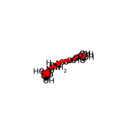 N[C@@H](Cc1cn(CCOCCOCCOCCOc2ccc(CCO[C@@H]3O[C@H](CO)[C@@H](O)[C@H](O)[C@H]3O)cc2)nn1)C(=O)NCC(=O)Nc1ccc2c(c1)C(=O)OC21c2ccc(O)cc2Oc2cc(O)ccc21